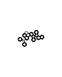 Clc1ccc2c(c1-c1ccc(N(c3ccccc3)c3ccccc3)c3ccccc13)-c1ccccc1C21c2ccccc2-c2c1ccc1ccccc21